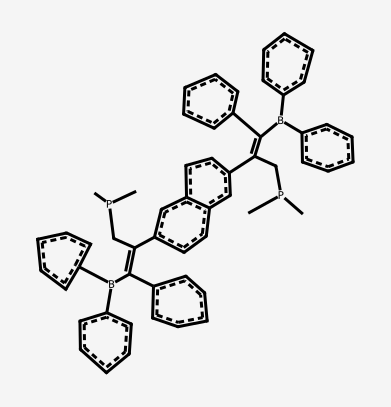 CP(C)C/C(=C(\B(c1ccccc1)c1ccccc1)c1ccccc1)c1ccc2cc(/C(CP(C)C)=C(/B(c3ccccc3)c3ccccc3)c3ccccc3)ccc2c1